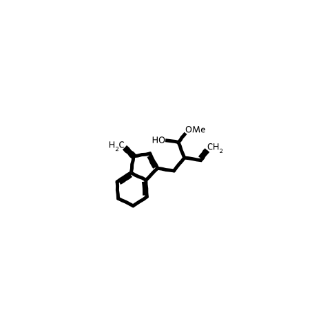 C=CC(CC1=CC(=C)C2=CCCC=C12)C(O)OC